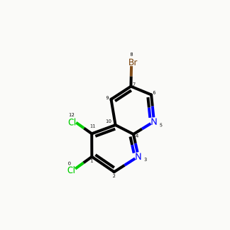 Clc1cnc2ncc(Br)cc2c1Cl